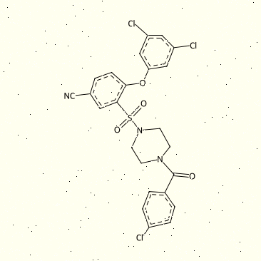 N#Cc1ccc(Oc2cc(Cl)cc(Cl)c2)c(S(=O)(=O)N2CCN(C(=O)c3ccc(Cl)cc3)CC2)c1